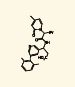 Cc1ccn(C(C(=O)NC(CC(=O)O)c2cncc(-c3c(C)cccc3C)c2)C(C)C)c(=O)c1